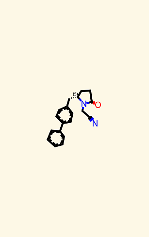 N#CCN1C(=O)CC[C@H]1Cc1ccc(-c2ccccc2)cc1